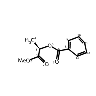 COC(=O)[C@@H](C)OC(=O)c1ccccc1